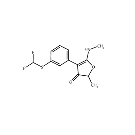 CNC1=C(c2cccc(SC(F)F)c2)C(=O)C(C)O1